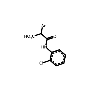 CC(=O)C(C(=O)O)C(=O)Nc1ccccc1Cl